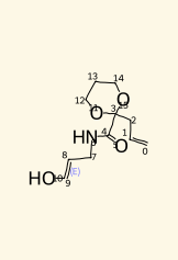 C=CCC1(C(=O)NC/C=C/O)OCCCO1